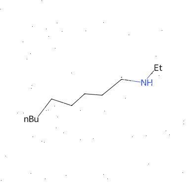 CCCCCCCC[CH]NCC